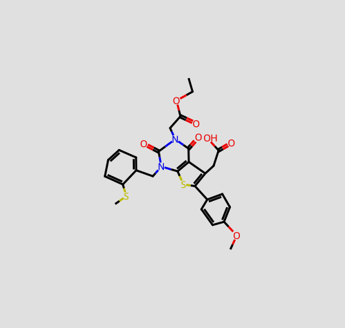 CCOC(=O)Cn1c(=O)c2c(CC(=O)O)c(-c3ccc(OC)cc3)sc2n(Cc2ccccc2SC)c1=O